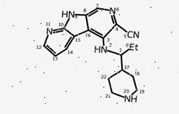 CCC(Nc1c(C#N)ncc2[nH]c3ncccc3c12)C1CCNCC1